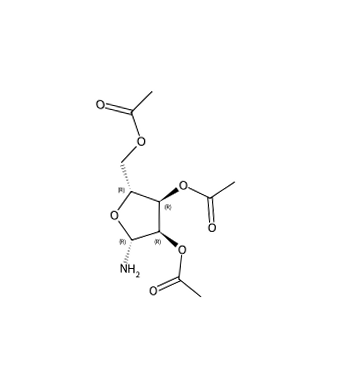 CC(=O)OC[C@H]1O[C@@H](N)[C@H](OC(C)=O)[C@@H]1OC(C)=O